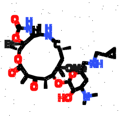 CC[C@]12OC(=O)N[C@@H]1[C@@H](C)NC[C@H](C)C[C@@](C)(OC)[C@H](OC1OC(CNCC3CC3)CC(N(C)C)C1O)[C@@H](C)C(=O)C(C)C(=O)O[C@@H]2C